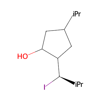 CC(C)C1CC(O)C([C@H](I)C(C)C)C1